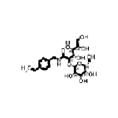 C=Cc1ccc(CNC(=O)[C@H](O[C@@H]2O[C@H](CO)[C@H](O)[C@H](O)[C@H]2O)[C@@H](O)[C@H](O)[C@H](O)CO)cc1